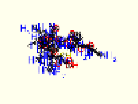 CCCC[C@H](NC(=O)[C@H](CCCCN)NC(=O)[C@H](CCC(N)=O)NC(=O)[C@@H]1CCCN1C(=O)CNC(=O)CNC(=O)[C@@H]1CCCN1C(=O)[C@H](Cc1c[nH]cn1)NC(=O)CNC(=O)[C@@H](N)CCCCN)C(=O)N[C@@H](CCCNC(=N)N)C(=O)N[C@@H](CCCNC(=N)N)C(=O)N[C@@H](CCCNC(=N)N)C(=O)N[C@@H](CS)C(=O)NCC(=O)O